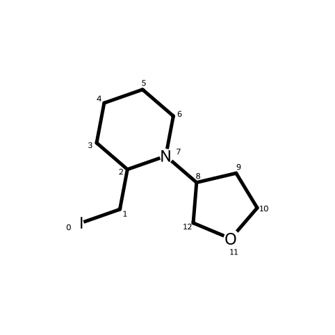 ICC1CCCCN1C1CCOC1